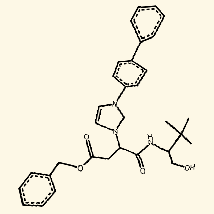 CC(C)(C)C(CO)NC(=O)C(CC(=O)OCc1ccccc1)N1C=CN(c2ccc(-c3ccccc3)cc2)C1